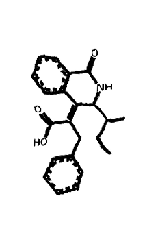 CCC(C)C1NC(=O)c2ccccc2C1=C(Cc1ccccc1)C(=O)O